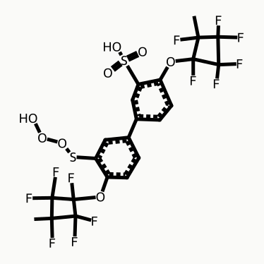 CC1(F)C(F)(F)C(F)(Oc2ccc(-c3ccc(OC4(F)C(C)(F)C(F)(F)C4(F)F)c(S(=O)(=O)O)c3)cc2SOOO)C1(F)F